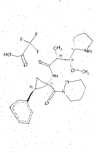 CO[C@@H]([C@@H]1CCCN1)[C@@H](C)C(=O)N[C@@]1(C(=O)N2CCCCO2)C[C@@H]1c1ccccc1.O=C(O)C(F)(F)F